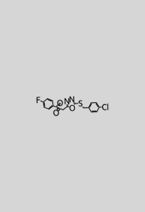 O=S(=O)(Cc1nnc(SCc2ccc(Cl)cc2)o1)c1ccc(F)cc1